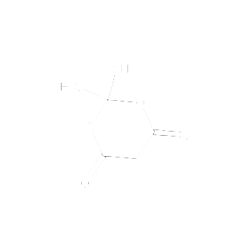 CC1(C)OC(=O)[CH]C(=O)O1